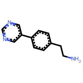 NCCc1ccc(-c2cncnc2)cc1